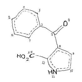 O=C(c1ccccc1)c1cc[nH]c1C(=O)O